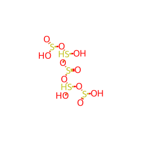 O=S(O)O[SH](O)OS(=O)O[SH](O)OS(=O)O